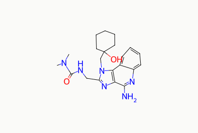 CN(C)C(=O)NCc1nc2c(N)nc3ccccc3c2n1CC1(O)CCCCC1